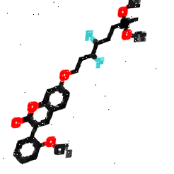 CCO[Si](C)(CCC(F)C(F)CCOc1ccc2cc(-c3ccccc3OC(F)(F)F)c(=O)oc2c1)OCC